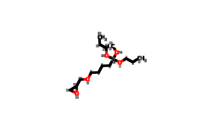 CCCO[Si](CCCCOCC1CO1)(OC)OCCC